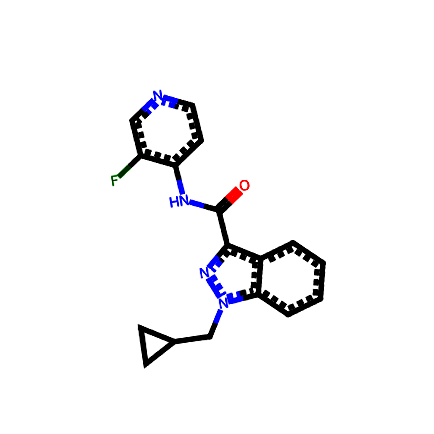 O=C(Nc1ccncc1F)c1nn(CC2CC2)c2ccccc12